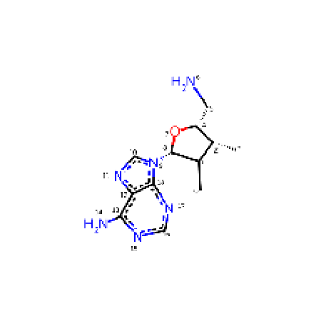 CC1[C@@H](C)[C@@H](CN)O[C@H]1n1cnc2c(N)ncnc21